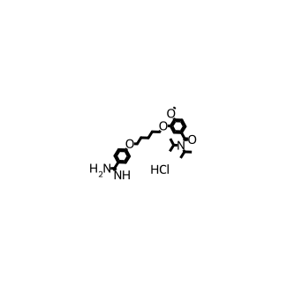 COc1ccc(C(=O)N(C(C)C)C(C)C)cc1OCCCCCOc1ccc(C(=N)N)cc1.Cl